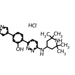 CC1(C)CC(Nc2ccc(-c3ccc(-c4cn[nH]c4)cc3O)nn2)CC(C)(C)N1.Cl